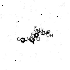 COc1ccc(CN(C)c2cc(C)cc(-c3c(Cl)cc4c(N5CCN(C(=O)O)C[C@@H]5C)nc(F)nc4c3F)n2)cc1